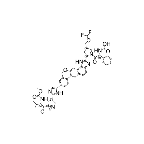 COC(=O)N[C@H](C(=O)[C@]12C[C@H](c3ncc(-c4ccc5c(c4)COc4cc6c(ccc7nc([C@@H]8C[C@H](COC(F)F)CN8C(=O)[C@H](NC(=O)O)c8ccccc8)[nH]c76)cc4-5)[nH]3)C[N@]1C2)C(C)C